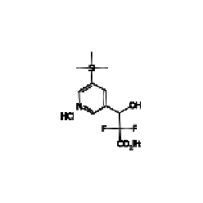 CCOC(=O)C(F)(F)C(O)c1cncc([Si](C)(C)C)c1.Cl